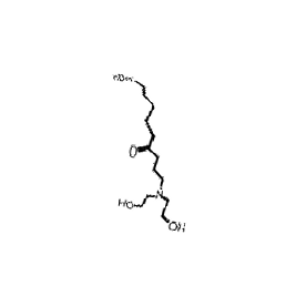 CCCCCCCCCCCCCCCC(=O)CCCN(CCO)CCO